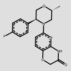 C[C@@H]1CN(c2ccc3c(n2)NC(=O)CO3)[C@@H](c2ccc(F)cc2)CO1